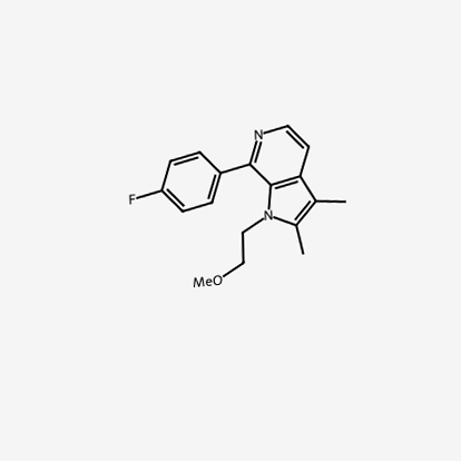 COCCn1c(C)c(C)c2ccnc(-c3ccc(F)cc3)c21